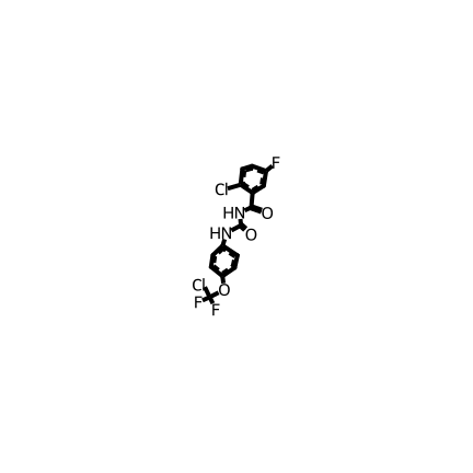 O=C(NC(=O)c1cc(F)ccc1Cl)Nc1ccc(OC(F)(F)Cl)cc1